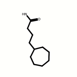 [NH]C(=O)CCCC1CCCCCC1